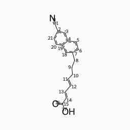 N#Cc1[c]c2ccc(CCC/C=C/C=C/C(=O)O)cc2cc1